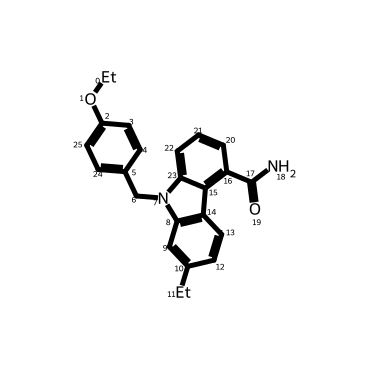 CCOc1ccc(Cn2c3cc(CC)c[c]c3c3c(C(N)=O)cccc32)cc1